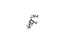 OCc1cc(Br)c2oc(C(F)(F)F)cc2c1